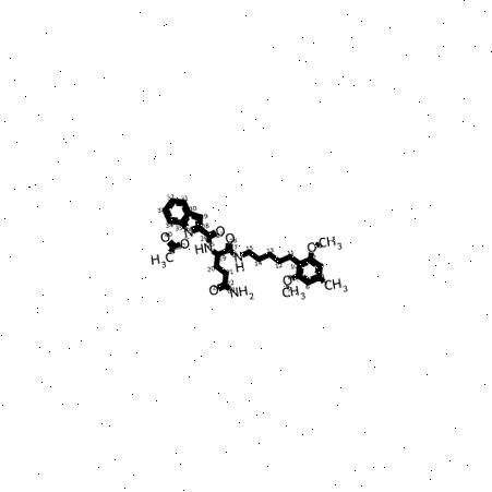 COc1cc(C)cc(OC)c1CCCCCNC(=O)C(CCC(N)=O)NC(=O)c1cc2ccccc2n1OC(C)=O